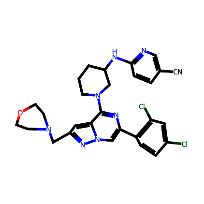 N#Cc1ccc(NC2CCCN(c3nc(-c4ccc(Cl)cc4Cl)cn4nc(CN5CCOCC5)cc34)C2)nc1